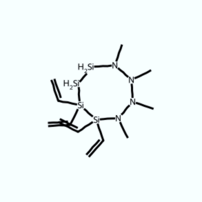 C=C[Si]1(C=C)[SiH2][SiH2]N(C)N(C)N(C)N(C)[Si]1(C=C)C=C